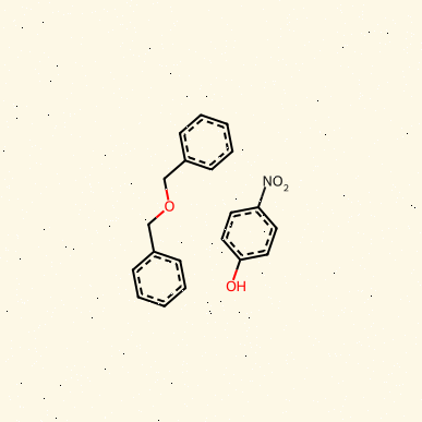 O=[N+]([O-])c1ccc(O)cc1.c1ccc(COCc2ccccc2)cc1